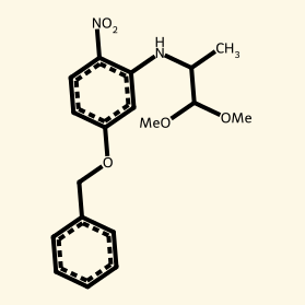 COC(OC)C(C)Nc1cc(OCc2ccccc2)ccc1[N+](=O)[O-]